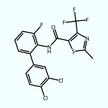 Cc1nc(C(F)(F)F)c(C(=O)Nc2c(F)cccc2-c2ccc(Cl)c(Cl)c2)s1